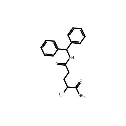 CC(C[CH]C(=O)NC(c1ccccc1)c1ccccc1)C(N)=O